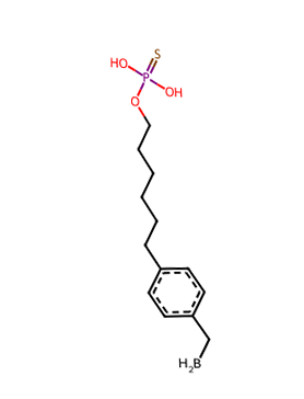 BCc1ccc(CCCCCCOP(O)(O)=S)cc1